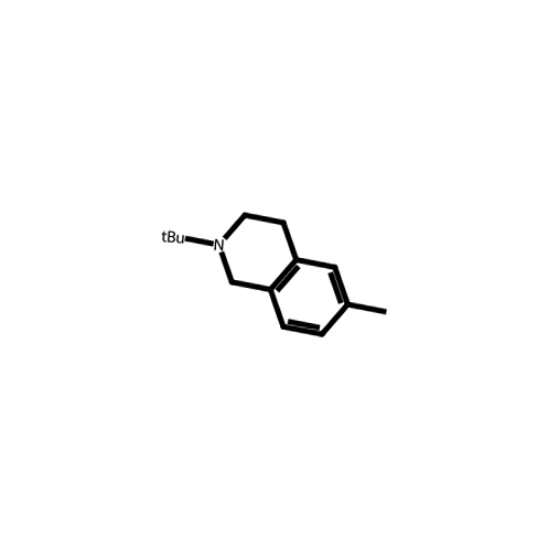 Cc1ccc2c(c1)CCN(C(C)(C)C)C2